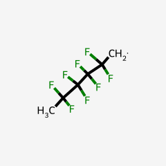 [CH2]C(F)(F)C(F)(F)C(F)(F)C(C)(F)F